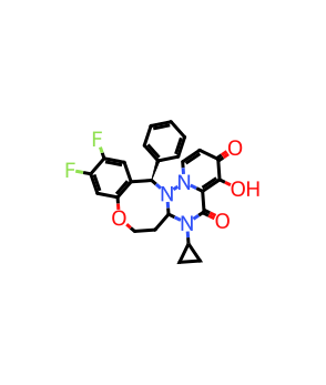 O=C1c2c(O)c(=O)ccn2N2C(CCOc3cc(F)c(F)cc3[C@H]2c2ccccc2)N1C1CC1